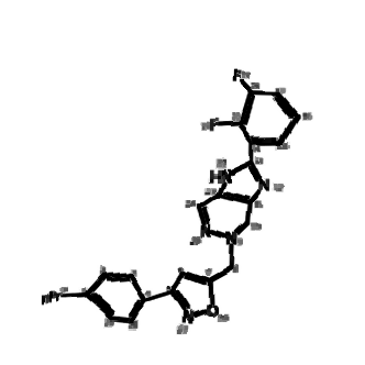 CCCc1ccc(-c2cc(CN3Cc4nc(-c5cccc(F)c5F)[nH]c4C=N3)on2)cc1